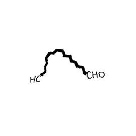 C#CCCC/C=C\C/C=C\CCCCCCCC=O